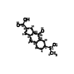 C[S+]([O-])c1ccc2nc3sc(C(=O)O)cn3c(=O)c2c1